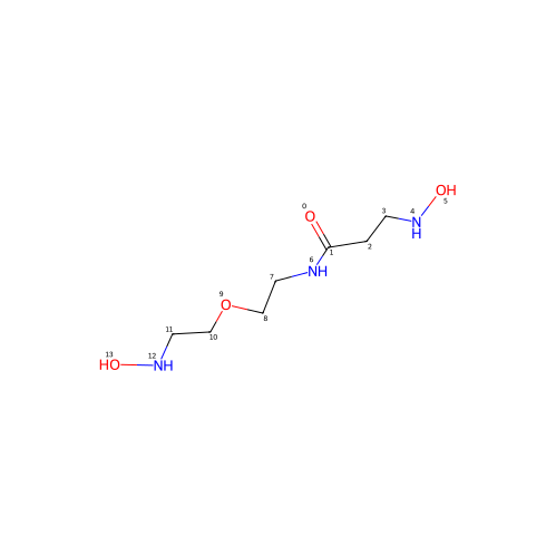 O=C(CCNO)NCCOCCNO